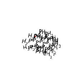 PPP(P)P(P(P)P)P(P(P(P)P)P(P)P)P(P(P(P)P)P(P)P)P(P(P)P)P(P)P